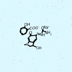 CN1CC(O)C2=C/C(=N\NC(N)=O)C(=O)C=C21.O=C([O-])c1ccccc1O.[Na+]